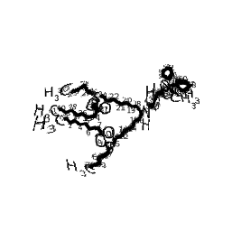 CCCCCCCCC(=O)OC(CCCCCC(CCCCCC(CSCCCCC)OC(=O)CCCCCCCC)NCCCCO[Si](c1ccccc1)(c1ccccc1)C(C)(C)C)CSCCCCC